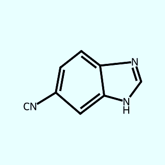 [C-]#[N+]c1ccc2nc[nH]c2c1